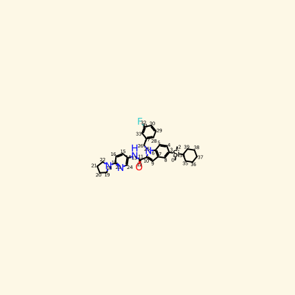 C[Si](C)(c1ccc2c(c1)cc(C(=O)Nc1ccc(N3CCCC3)nc1)n2Cc1cccc(F)c1)C1CCCCC1